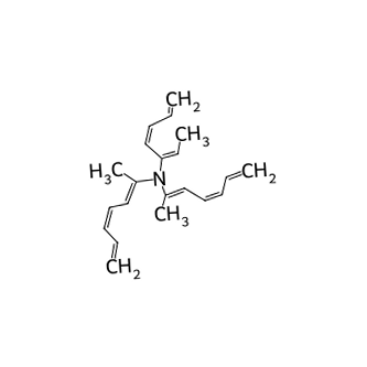 C=C/C=C\C=C(/C)N(/C(C)=C/C=C\C=C)C(/C=C\C=C)=C/C